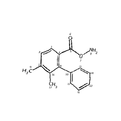 Cc1ccc(C(=O)ON)c(-c2ccccc2)c1C